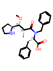 CO[C@@H]([C@@H]1CCCN1)[C@@H](C)C(=O)N(Cc1ccccc1)[C@@H](Cc1ccccc1)C(=O)O